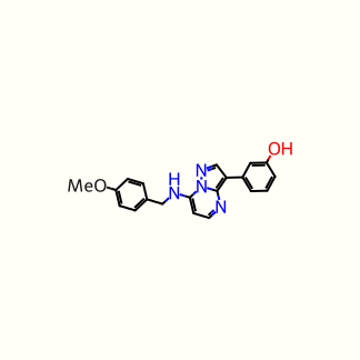 COc1ccc(CNc2ccnc3c(-c4cccc(O)c4)cnn23)cc1